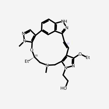 CCOc1nn(CCO)c2c1/C=C/c1n[nH]c3ccc(cc13)-c1cnn(C)c1O[C@@H](CC)CN(C)C2